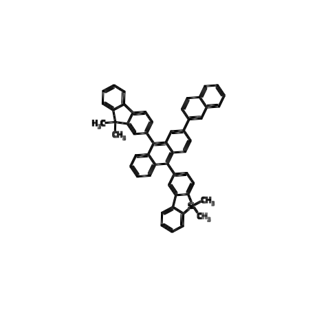 CC1(C)c2ccccc2-c2ccc(-c3c4ccccc4c(-c4ccc5c(c4)-c4ccccc4[Si]5(C)C)c4ccc(-c5ccc6ccccc6c5)cc34)cc21